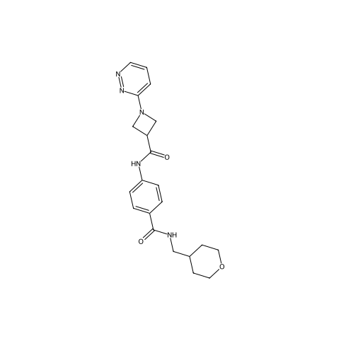 O=C(NCC1CCOCC1)c1ccc(NC(=O)C2CN(c3cccnn3)C2)cc1